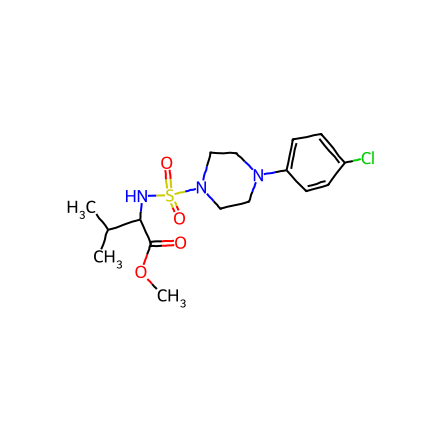 COC(=O)C(NS(=O)(=O)N1CCN(c2ccc(Cl)cc2)CC1)C(C)C